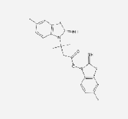 Cc1ccc2c(c1)sc(=N)n2OC(=O)CC(C)(C)n1c(=N)sc2cc(C)ccc21